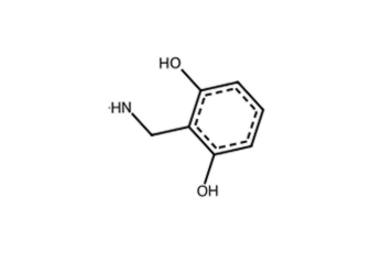 [NH]Cc1c(O)cccc1O